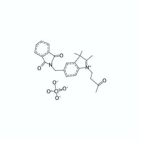 CC(=O)CC[N+]1=C(C)C(C)(C)c2cc(CN3C(=O)c4ccccc4C3=O)ccc21.[O-][Cl+3]([O-])([O-])[O-]